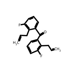 C=CCc1c(F)cccc1C(=O)c1cccc(F)c1CC=C